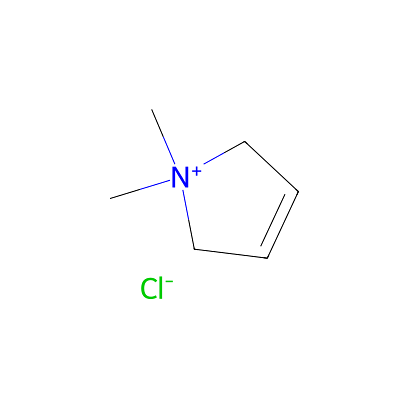 C[N+]1(C)CC=CC1.[Cl-]